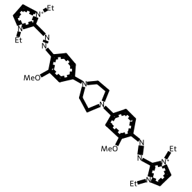 CCn1cc[n+](CC)c1/N=N/c1ccc(N2CCN(c3ccc(/N=N/c4n(CC)cc[n+]4CC)c(OC)c3)CC2)cc1OC